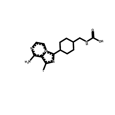 Nc1nccn2c(C3CCC(CNC(=O)O)CC3)nc(I)c12